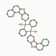 OC1(c2ccc3oc4ccc5ccccc5c4c3c2)c2ccccc2C(O)(c2ccc3oc4ccc5ccccc5c4c3c2)c2ccccc21